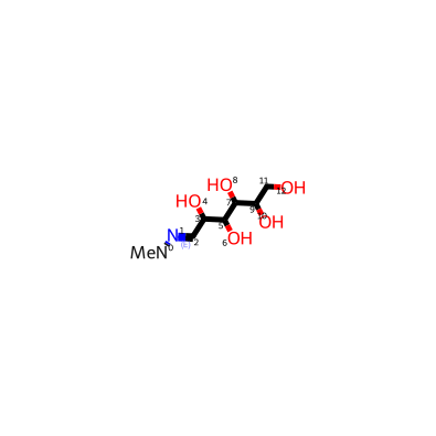 CN/N=C/C(O)C(O)C(O)C(O)CO